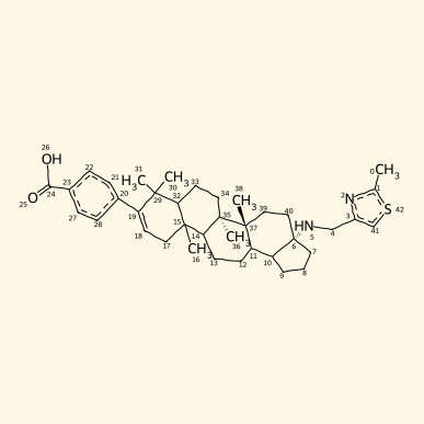 Cc1nc(CN[C@]23CCCC2C2CCC4C5(C)CC=C(c6ccc(C(=O)O)cc6)C(C)(C)C5CC[C@@]4(C)[C@]2(C)CC3)cs1